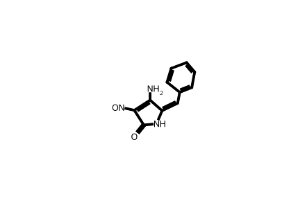 NC1=C(N=O)C(=O)NC1=Cc1ccccc1